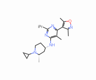 Cc1noc(C)c1-c1nc(C(C)C)nc(N[C@H]2CCN(C3CC3)[C@@H](C)C2)c1C